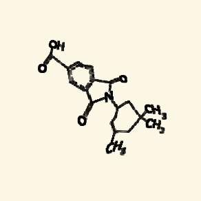 CC1CC(N2C(=O)c3ccc(C(=O)O)cc3C2=O)CC(C)(C)C1